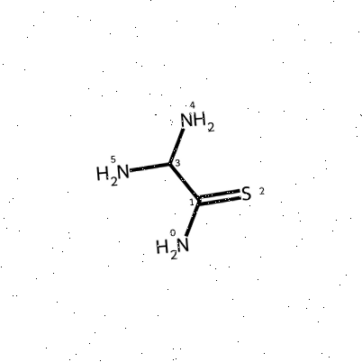 NC(=S)C(N)N